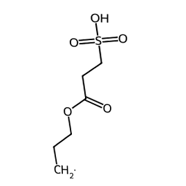 [CH2]CCOC(=O)CCS(=O)(=O)O